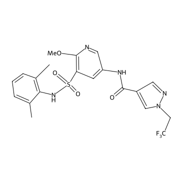 COc1ncc(NC(=O)c2cnn(CC(F)(F)F)c2)cc1S(=O)(=O)Nc1c(C)cccc1C